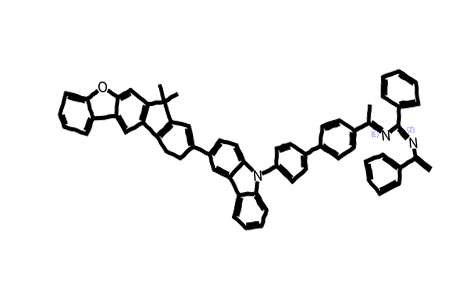 C=C(/N=C(\N=C(/C)c1ccc(-c2ccc(-n3c4ccccc4c4cc(C5=CC6=C(CC5)c5cc7c(cc5C6(C)C)oc5ccccc57)ccc43)cc2)cc1)c1ccccc1)c1ccccc1